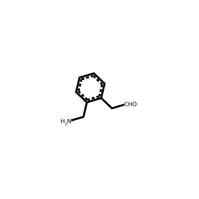 NCc1ccccc1C[C]=O